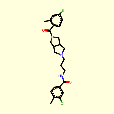 Cc1ccc(C(=O)NCCCN2CC3CN(C(=O)c4ccc(Br)cc4C)CC3C2)cc1Cl